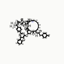 CC(C)(C)c1ccc(-c2nc(O[C@@H]3C[C@H]4C(=O)N[C@]5(C(=O)NS(=O)(=O)C6CC6)C[C@H]5/C=C\CCCCC[C@H](NC(=O)Cc5ccc(F)cc5)C(=O)N4C3)c3oc4ccccc4c3n2)cc1